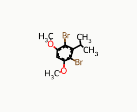 COc1cc(OC)c(Br)c(C(C)C)c1Br